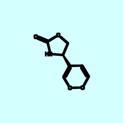 O=C1N[C@H](C2=COOC=C2)CO1